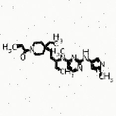 C=CC(=O)N1CCC(CC)(CCC(CC)N(C)c2ccnc(Nc3cnn(C)c3)n2)CC1